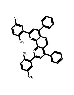 Cc1ccc(C)c(-c2cc(-c3ccccc3)c3ccc4c(-c5ccccc5)cc(-c5cc(C)ccc5C)nc4c3n2)c1